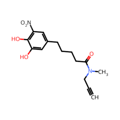 C#CCN(C)C(=O)CCCCc1cc(O)c(O)c([N+](=O)[O-])c1